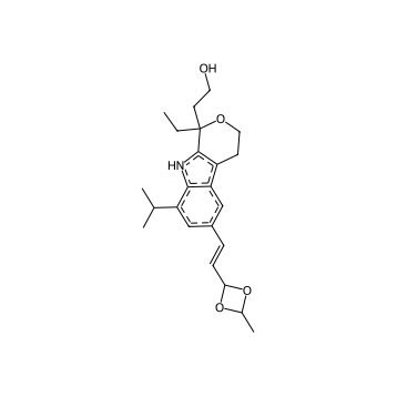 CCC1(CCO)OCCc2c1[nH]c1c(C(C)C)cc(/C=C/C3OC(C)O3)cc21